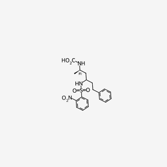 C[C@H](CC(CCc1ccccc1)NS(=O)(=O)c1ccccc1[N+](=O)[O-])NC(=O)O